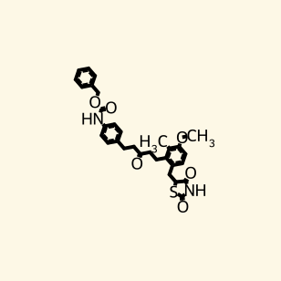 COc1ccc(CC2SC(=O)NC2=O)c(CCC(=O)CCc2ccc(NC(=O)OCc3ccccc3)cc2)c1C